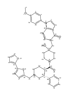 COc1ccc(-n2ccc3c(=O)n(CC4(O)CCN(C(=O)[C@@H]5CCN(Cc6cnc(-c7ccco7)s6)C[C@H]5c5ccccc5)CC4)cnc32)cc1